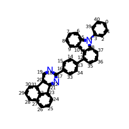 c1ccc(-n2c3ccccc3c3c(-c4ccc(-c5ncc6c(n5)-c5cccc7cccc-6c57)cc4)cccc32)cc1